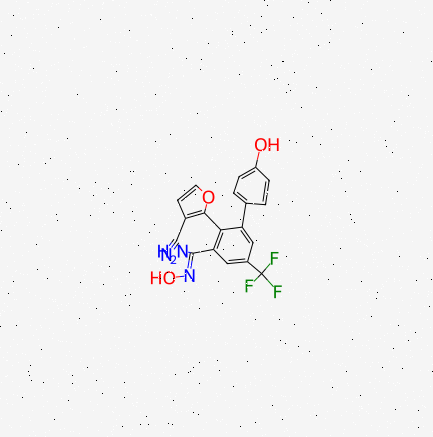 N#Cc1ccoc1-c1c(/C(N)=N/O)cc(C(F)(F)F)cc1-c1ccc(O)cc1